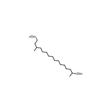 CCCCCCCCCCCCC(C)CCCCCCCCCCCC(C)CCCCCCCCCC